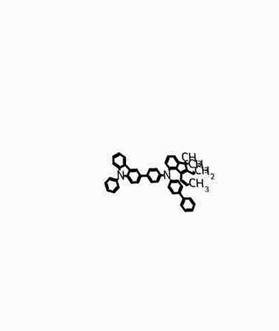 C=CC1=C(/C=C\C)c2c(N(c3ccc(-c4ccccc4)cc3)c3ccc(-c4ccc5c(c4)c4ccccc4n5-c4ccccc4)cc3)cccc2C1(C)C